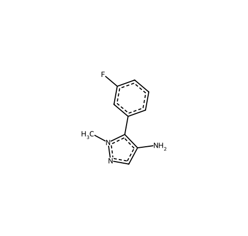 Cn1ncc(N)c1-c1cccc(F)c1